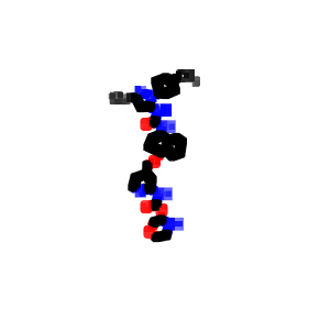 Cc1ccc(-n2nc(C(C)(C)C)cc2NC(=O)Nc2ccc(OCc3ccnc(NC(=O)O[C@@H]4COCCN4)c3)c3ccccc23)cc1